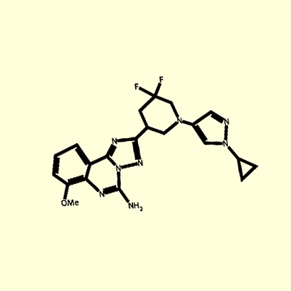 COc1cccc2c1nc(N)n1nc(C3CN(c4cnn(C5CC5)c4)CC(F)(F)C3)nc21